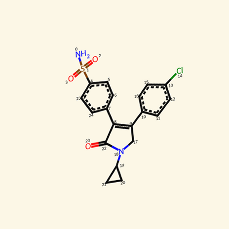 NS(=O)(=O)c1ccc(C2=C(c3ccc(Cl)cc3)CN(C3CC3)C2=O)cc1